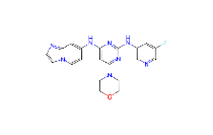 Fc1cncc(Nc2nc(Nc3ccn4ccnc4c3)cc(N3CCOCC3)n2)c1